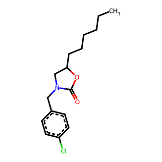 CCCCCCC1CN(Cc2ccc(Cl)cc2)C(=O)O1